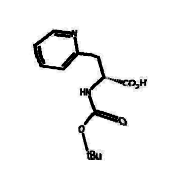 CC(C)(C)OC(=O)N[C@H](Cc1ccccn1)C(=O)O